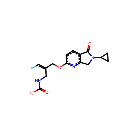 O=C(O)NC/C(=C\F)COc1ccc2c(n1)CN(C1CC1)C2=O